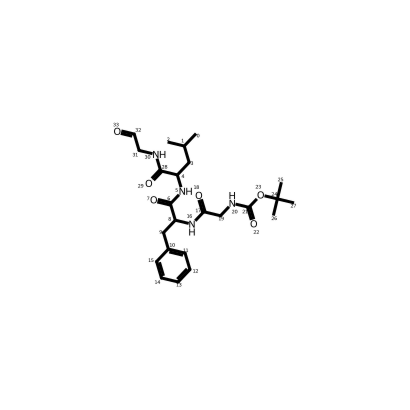 CC(C)CC(NC(=O)C(Cc1ccccc1)NC(=O)CNC(=O)OC(C)(C)C)C(=O)NCC=O